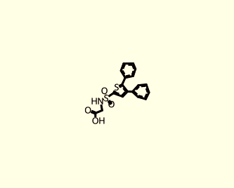 O=C(O)CNS(=O)(=O)c1cc(-c2ccccc2)c(-c2ccccc2)s1